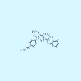 CC(C)CN(C[C@H](O)[C@H](Cc1ccccc1)NC(=O)O)S(=O)(=O)c1ccc(C=NO)cc1